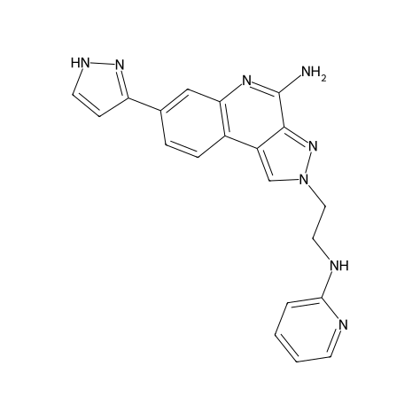 Nc1nc2cc(-c3cc[nH]n3)ccc2c2cn(CCNc3ccccn3)nc12